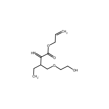 [CH2]CC(COCCO)C(=N)C(=O)OCC=C